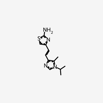 Cc1c(/C=C/c2csc(N)n2)ncn1C(C)C